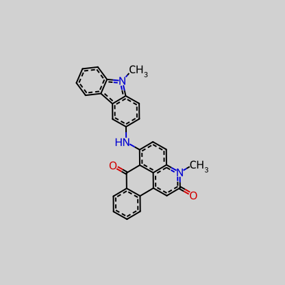 Cn1c(=O)cc2c3c(c(Nc4ccc5c(c4)c4ccccc4n5C)ccc31)C(=O)c1ccccc1-2